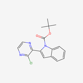 CC(C)(C)OC(=O)n1c(-c2nccnc2Cl)cc2ccccc21